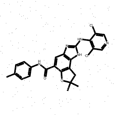 Cc1ccc(NC(=O)c2cc3nc(Nc4c(Cl)cncc4Cl)[nH]c3c3c2OC(C)(C)C3)cc1